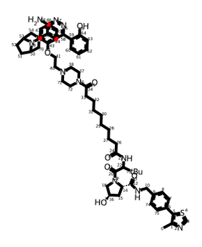 Cc1ncsc1-c1ccc(CNC(=O)[C@@H]2C[C@@H](O)CN2C(=O)C(NC(=O)CCCCCCCCC(=O)N2CCN(CCOc3ccccc3N3C4CCC3CN(c3cc(-c5ccccc5O)nnc3N)C4)CC2)C(C)(C)C)cc1